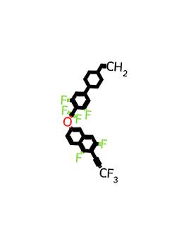 C=CC1CCC(c2cc(F)c(C(F)(F)Oc3ccc4c(F)c(C#CC(F)(F)F)c(F)cc4c3)c(F)c2)CC1